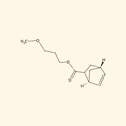 COCCCOC(=O)C1C[C@@H]2C=C[C@@H]1C2